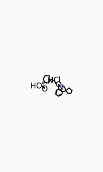 Cl.O=C(O)[C@@H]1CCCN(CCO/N=C/C2(c3ccccc3)CCCC2)C1